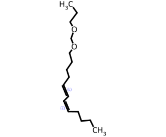 CCCC/C=C\C=C\CCCCOCOCCC